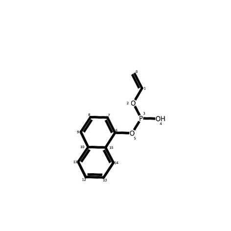 C=COP(O)Oc1cccc2ccccc12